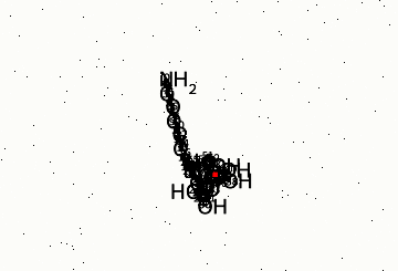 NCCOCCOCCOCCOCCOCCc1cn(CCOC2c3c(O)cc(O)cc3OC(c3cc(O)c(O)c(O)c3)C2OC(=O)c2ccccc2)nn1